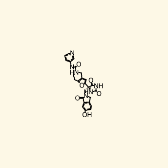 O=C1NC(=O)[C@](CN2Cc3ccc(O)cc3C2=O)(c2cc3c(o2)CCN(C(=O)Nc2cccnc2)C3)N1